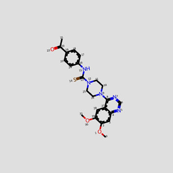 COc1cc2ncnc(N3CCN(C(=S)Nc4ccc(C(C)=O)cc4)CC3)c2cc1OC